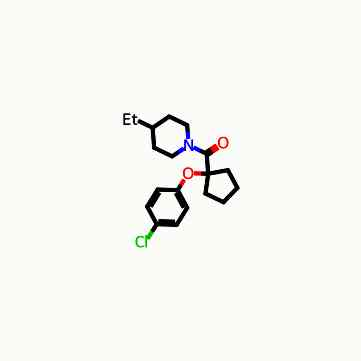 CCC1CCN(C(=O)C2(Oc3ccc(Cl)cc3)CCCC2)CC1